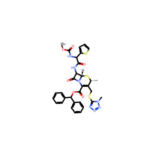 C[C@H]1S[C@H]2C(NC(=O)C(NC(=O)OC(C)(C)C)c3cccs3)C(=O)N2C(C(=O)OC(c2ccccc2)c2ccccc2)=C1CSc1nnnn1C